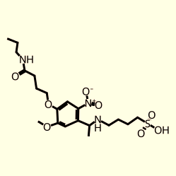 CCCNC(=O)CCCOc1cc([N+](=O)[O-])c(C(C)NCCCCS(=O)(=O)O)cc1OC